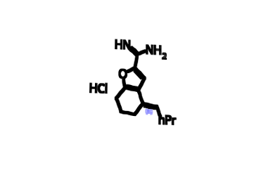 CCC/C=C1\CCCc2oc(C(=N)N)cc21.Cl